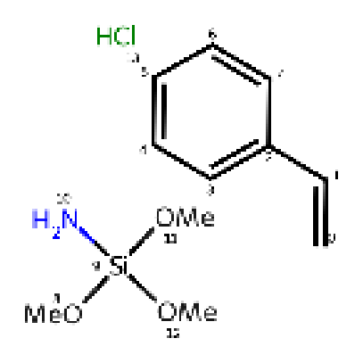 C=Cc1ccccc1.CO[Si](N)(OC)OC.Cl